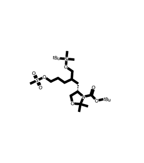 CC(C)(C)OC(=O)N1[C@@H](CC(CCCOS(C)(=O)=O)CO[Si](C)(C)C(C)(C)C)COC1(C)C